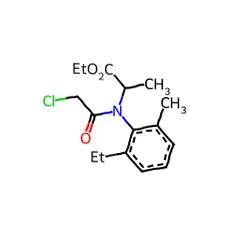 CCOC(=O)C(C)N(C(=O)CCl)c1c(C)cccc1CC